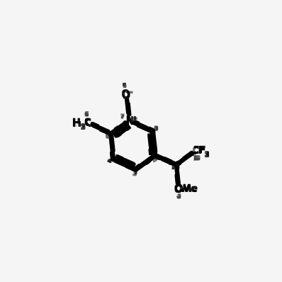 COC(c1ccc(C)[n+]([O-])c1)C(F)(F)F